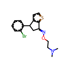 CN(C)CCON=C1CC(c2ccccc2Br)c2ccsc21